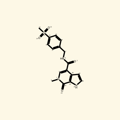 Cn1cc(C(=O)NCc2ccc(S(C)(=O)=O)cc2)c2cc[nH]c2c1=O